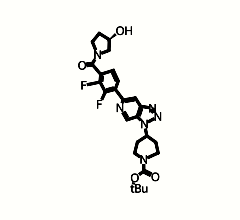 CC(C)(C)OC(=O)N1CCC(n2nnc3cc(-c4ccc(C(=O)N5CC[C@@H](O)C5)c(F)c4F)ncc32)CC1